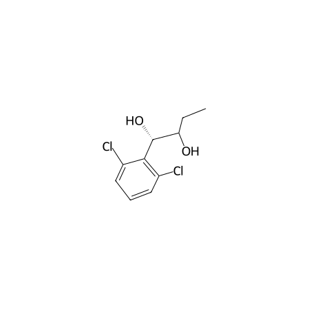 CCC(O)[C@@H](O)c1c(Cl)cccc1Cl